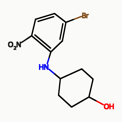 O=[N+]([O-])c1ccc(Br)cc1NC1CCC(O)CC1